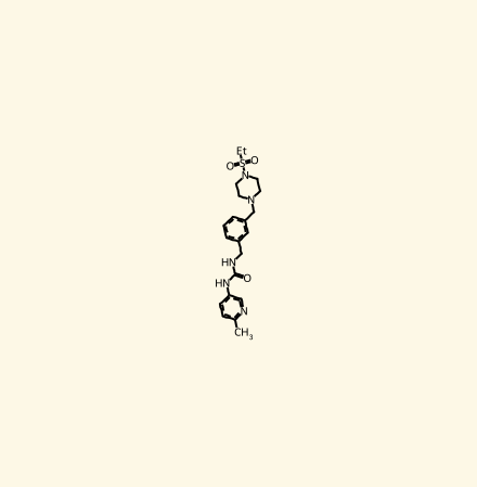 CCS(=O)(=O)N1CCN(Cc2cccc(CNC(=O)Nc3ccc(C)nc3)c2)CC1